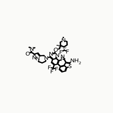 CN1CC[C@H](C(F)F)[C@](C)(COc2nc(N3CCCn4nc(C(=O)N(C)C)cc4C3)c3cc(C(F)(F)F)c(-c4cccc5sc(N)c(C#N)c45)c(F)c3n2)C1